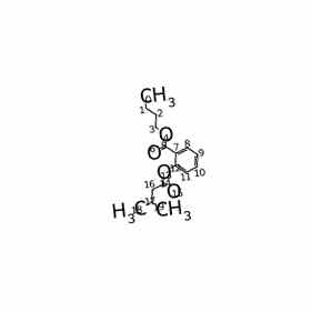 CCCCOC(=O)c1ccccc1OC(=O)CC(C)C